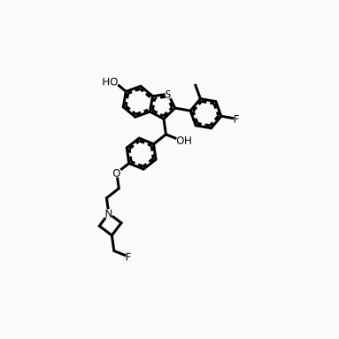 Cc1cc(F)ccc1-c1sc2cc(O)ccc2c1C(O)c1ccc(OCCN2CC(CF)C2)cc1